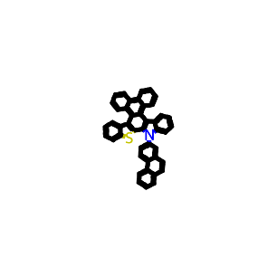 c1ccc2c(c1)ccc1cc(-n3c4ccccc4c4c5c6ccccc6c6ccccc6c5c5c6ccccc6sc5c43)ccc12